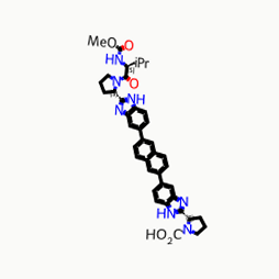 COC(=O)N[C@H](C(=O)N1CCC[C@H]1c1nc2cc(-c3ccc4cc(-c5ccc6[nH]c([C@@H]7CCCN7C(=O)O)nc6c5)ccc4c3)ccc2[nH]1)C(C)C